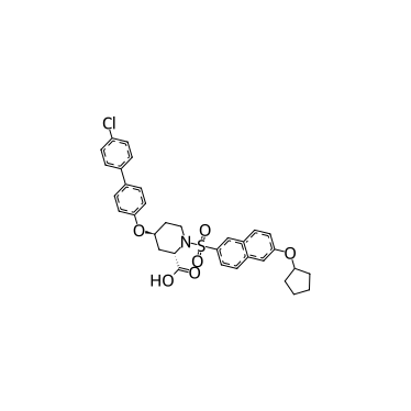 O=C(O)[C@@H]1C[C@@H](Oc2ccc(-c3ccc(Cl)cc3)cc2)CCN1S(=O)(=O)c1ccc2cc(OC3CCCC3)ccc2c1